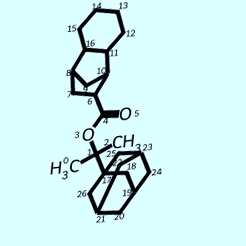 CC(C)(OC(=O)C1CC2CC1C1CCCCC21)C12CC3CC(CC(C3)C1)C2